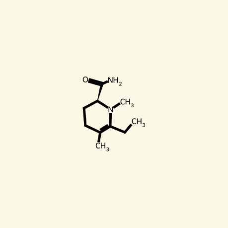 CCC1=C(C)CC[C@@H](C(N)=O)N1C